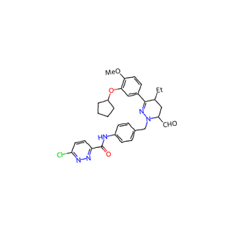 CCC1CC(C=O)N(Cc2ccc(NC(=O)c3ccc(Cl)nn3)cc2)N=C1c1ccc(OC)c(OC2CCCC2)c1